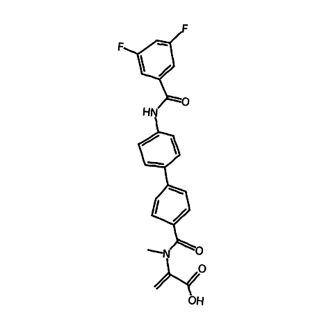 C=C(C(=O)O)N(C)C(=O)c1ccc(-c2ccc(NC(=O)c3cc(F)cc(F)c3)cc2)cc1